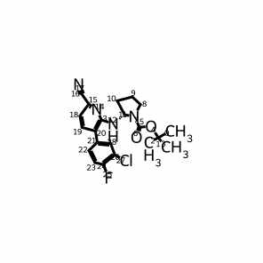 CC(C)(C)OC(=O)N1CCC[C@H]1Nc1nc(C#N)ccc1-c1ccc(F)c(Cl)c1